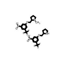 CN1CCCC1COc1cc([N+](=O)[O-])cc(C(F)(F)F)c1.O=[N+]([O-])c1cc(OCC2CCCN2)cc(C(F)(F)F)c1